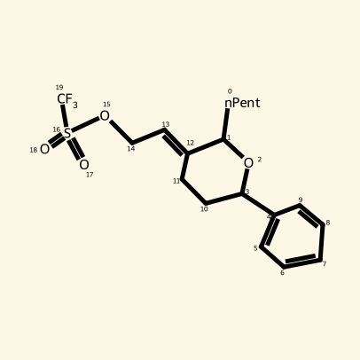 CCCCCC1OC(c2ccccc2)CCC1=CCOS(=O)(=O)C(F)(F)F